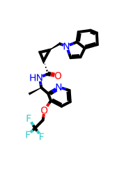 C[C@@H](NC(=O)[C@@H]1C[C@H]1Cn1ccc2ccccc21)c1ncccc1OCC(F)(F)F